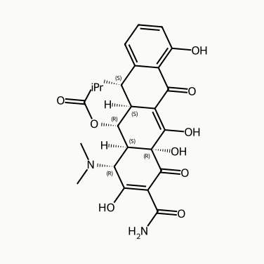 CC(C)C(=O)O[C@@H]1[C@@H]2C(=C(O)[C@@]3(O)C(=O)C(C(N)=O)=C(O)[C@H](N(C)C)[C@@H]13)C(=O)c1c(O)cccc1[C@H]2C